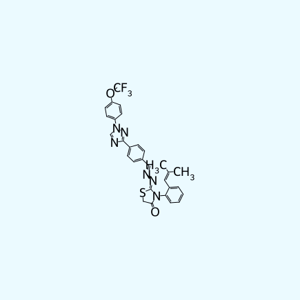 CC(C)=Cc1ccccc1N1C(=O)CS/C1=N\N=C\c1ccc(-c2ncn(-c3ccc(OC(F)(F)F)cc3)n2)cc1